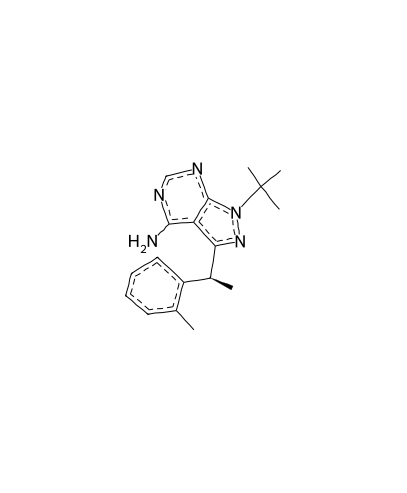 Cc1ccccc1[C@H](C)c1nn(C(C)(C)C)c2ncnc(N)c12